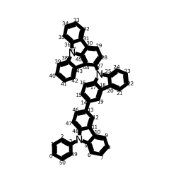 c1ccc(-n2c3ccccc3c3cc(-c4ccc5c(c4)c4ccccc4n5-c4ccc5c6ccccc6n6c7ccccc7c4c56)ccc32)cc1